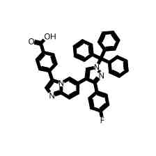 O=C(O)c1ccc(-c2cnc3ccc(-c4cn(C(c5ccccc5)(c5ccccc5)C5C=CC=CC5)nc4-c4ccc(F)cc4)cn23)cc1